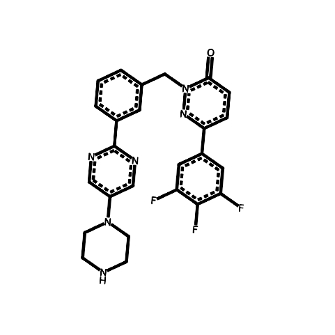 O=c1ccc(-c2cc(F)c(F)c(F)c2)nn1Cc1cccc(-c2ncc(N3CCNCC3)cn2)c1